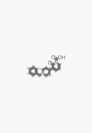 O=C(O)n1cccc(C2CCN(Cc3ccccc3)CC2)c1=O